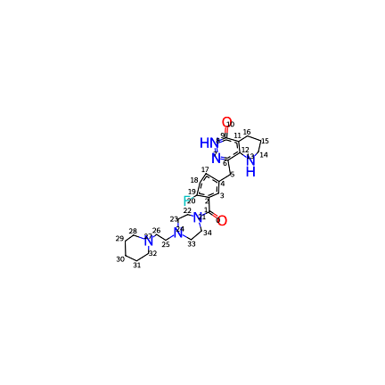 O=C(c1cc(Cc2n[nH]c(=O)c3c2NCCC3)ccc1F)N1CCN(CCN2CCCCC2)CC1